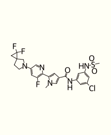 Cn1cc(C(=O)Nc2cc(Cl)cc(NS(C)(=O)=O)c2)cc1-c1ncc(N2CCC3(C2)CC3(F)F)cc1F